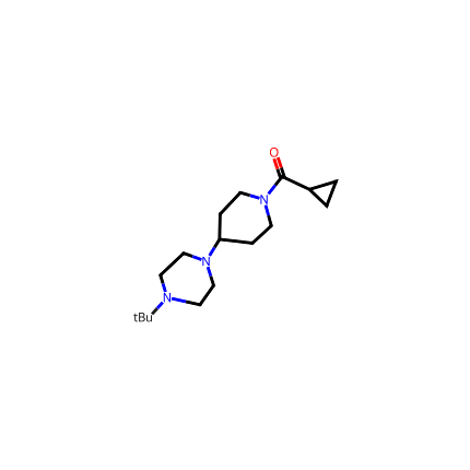 CC(C)(C)N1CCN(C2CCN(C(=O)C3CC3)CC2)CC1